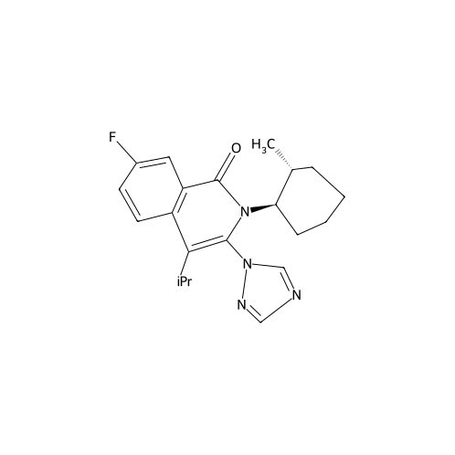 CC(C)c1c(-n2cncn2)n([C@@H]2CCCC[C@H]2C)c(=O)c2cc(F)ccc12